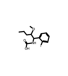 CCCC(OC)C(NC(=O)O)c1ccccc1I